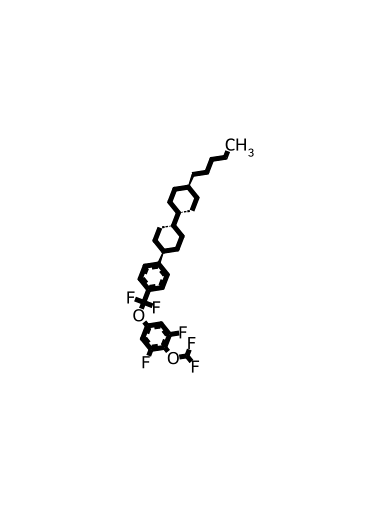 CCCCC[C@H]1CC[C@H]([C@H]2CC[C@H](c3ccc(C(F)(F)Oc4cc(F)c(OC(F)F)c(F)c4)cc3)CC2)CC1